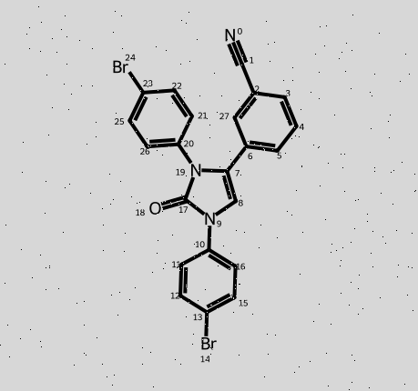 N#Cc1cccc(-c2cn(-c3ccc(Br)cc3)c(=O)n2-c2ccc(Br)cc2)c1